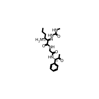 CCC[C@H](N)C(=NNC(=O)NC)C(=O)NCC(=O)N[C@H](C(C)=O)c1ccccc1